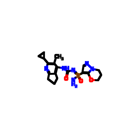 Cc1c(C2CC2)nc2c(c1NC(=O)N=[S@@](N)(=O)c1cnn3c1OCCC3)CCC2